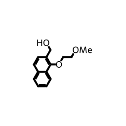 COCCOc1c(CO)ccc2ccccc12